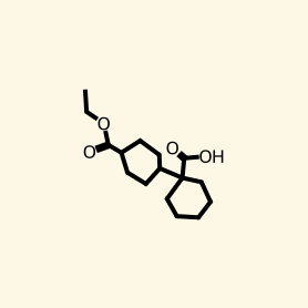 CCOC(=O)C1CCC(C2(C(=O)O)CCCCC2)CC1